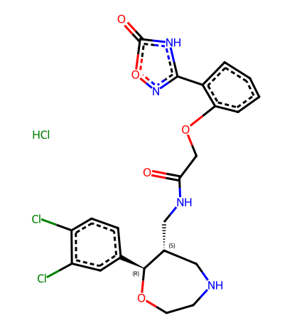 Cl.O=C(COc1ccccc1-c1noc(=O)[nH]1)NC[C@@H]1CNCCO[C@H]1c1ccc(Cl)c(Cl)c1